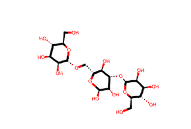 OC[C@H]1O[C@H](OC[C@H]2O[C@H](O)[C@@H](O)[C@@H](O[C@H]3O[C@H](CO)[C@@H](O)[C@H](O)[C@@H]3O)[C@@H]2O)[C@@H](O)[C@@H](O)[C@@H]1O